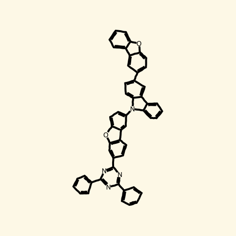 c1ccc(-c2nc(-c3ccccc3)nc(-c3ccc4c(c3)oc3ccc(-n5c6ccccc6c6cc(-c7ccc8oc9ccccc9c8c7)ccc65)cc34)n2)cc1